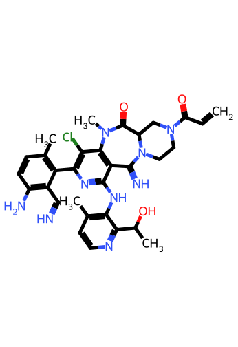 C=CC(=O)N1CCN2C(=N)c3c(Nc4c(C)ccnc4C(C)O)nc(-c4c(C)ccc(N)c4C=N)c(Cl)c3N(C)C(=O)C2C1